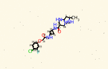 CC1CC2NCC(C(=O)NC34CC(NC(=O)COc5ccc(Cl)c(F)c5)(C3)C4)CN2N1